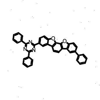 c1ccc(-c2ccc3oc4c(ccc5c6cc(-c7nc(-c8ccccc8)nc(-c8ccccc8)n7)ccc6oc54)c3c2)cc1